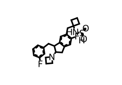 O=[SH](=O)NC1(Cc2cc3c(cc2F)CC(N2CCC2)C3Cc2cccc(F)c2)CCC1